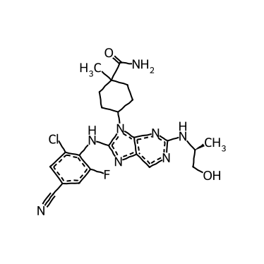 C[C@@H](CO)Nc1ncc2nc(Nc3c(F)cc(C#N)cc3Cl)n(C3CCC(C)(C(N)=O)CC3)c2n1